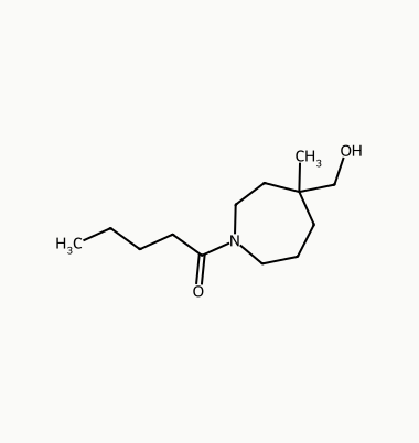 CCCCC(=O)N1CCCC(C)(CO)CC1